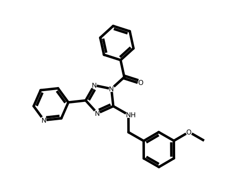 COc1cccc(CNc2nc(-c3cccnc3)nn2C(=O)c2ccccc2)c1